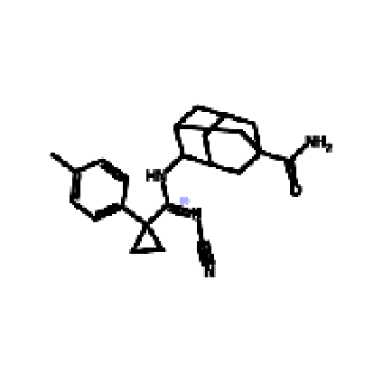 Cc1ccc(C2(/C(=N\C#N)NC3C4CC5CC3CC(C(N)=O)(C5)C4)CC2)cc1